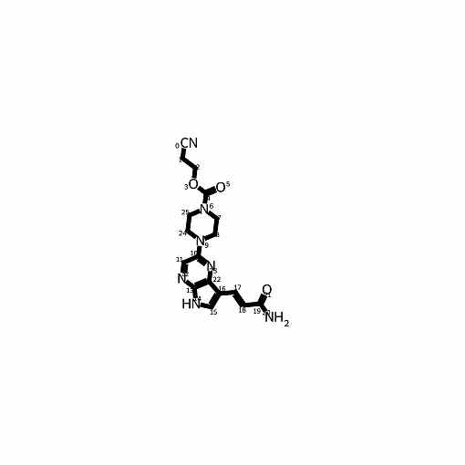 N#CCCOC(=O)N1CCN(c2cnc3[nH]cc(C=CC(N)=O)c3n2)CC1